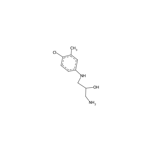 Cc1cc(NCC(O)CN)ccc1Cl